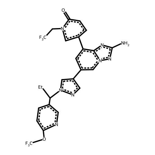 CCC(c1ccc(OC(F)(F)F)nc1)n1cc(-c2cc(-c3ccc(=O)n(CC(F)(F)F)c3)c3nc(N)nn3c2)cn1